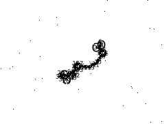 COC(=O)c1cccc(C#CCCCC#Cc2cccc(C3=CCN(C(=O)OC(C)(C)C)C3)c2)c1